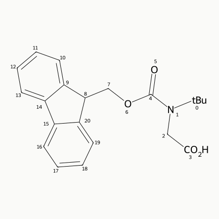 CC(C)(C)N(CC(=O)O)C(=O)OCC1c2ccccc2-c2ccccc21